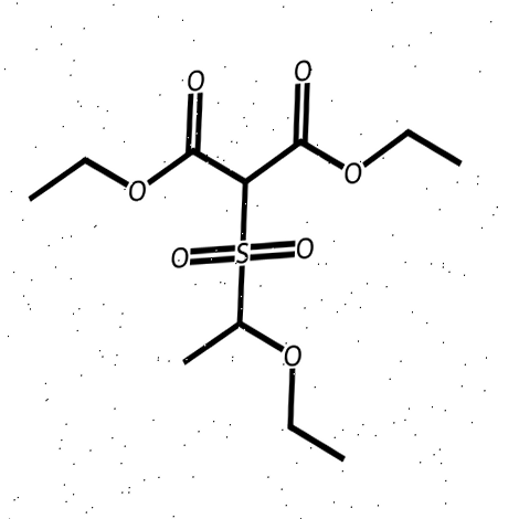 CCOC(=O)C(C(=O)OCC)S(=O)(=O)C(C)OCC